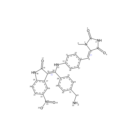 CN1C(=O)NC(=O)/C1=C/c1ccc(N/C(=C2\C(=O)Nc3ccc([N+](=O)[O-])cc32)c2ccc(CN)cc2)cc1